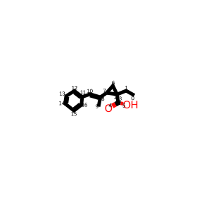 CCC1(C(=O)O)CC1/C(C)=C/c1ccccc1